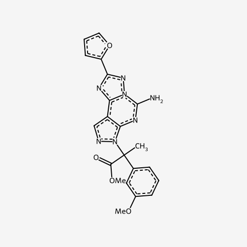 COC(=O)C(C)(c1cccc(OC)c1)n1ncc2c1nc(N)n1nc(-c3ccco3)nc21